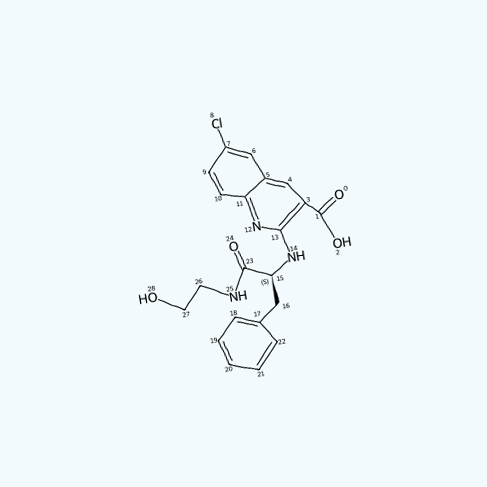 O=C(O)c1cc2cc(Cl)ccc2nc1N[C@@H](Cc1ccccc1)C(=O)NCCO